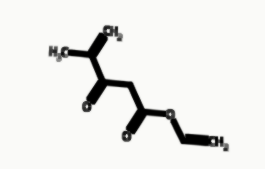 C=COC(=O)CC(=O)C(=C)C